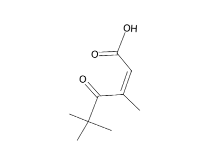 CC(=CC(=O)O)C(=O)C(C)(C)C